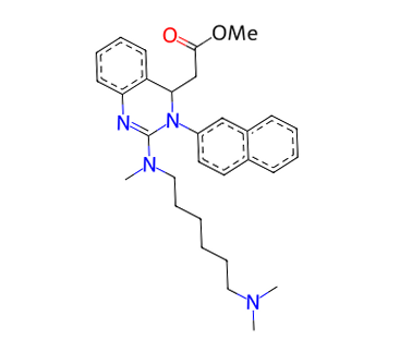 COC(=O)CC1c2ccccc2N=C(N(C)CCCCCCN(C)C)N1c1ccc2ccccc2c1